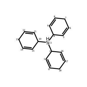 C1=CC([SiH](C2C=CCC=C2)C2C=CCC=C2)C=CC1